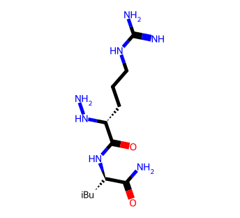 CC[C@@H](C)[C@@H](NC(=O)[C@@H](CCCNC(=N)N)NN)C(N)=O